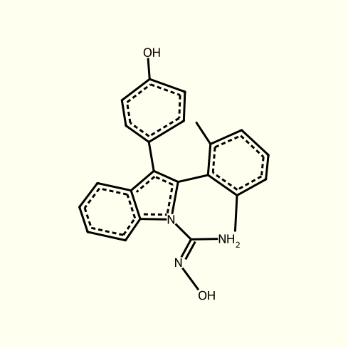 Cc1cccc(C)c1-c1c(-c2ccc(O)cc2)c2ccccc2n1/C(N)=N/O